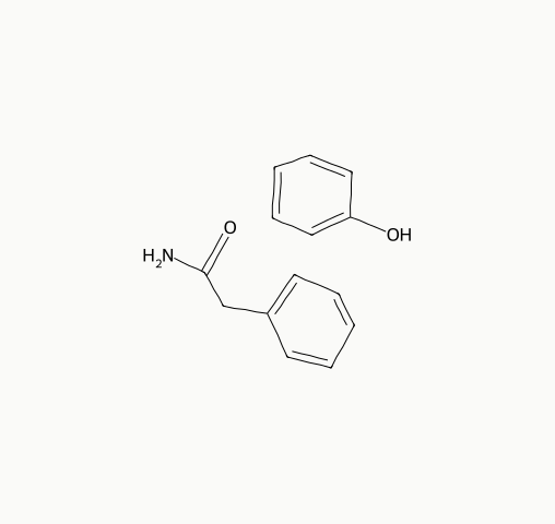 NC(=O)Cc1ccccc1.Oc1ccccc1